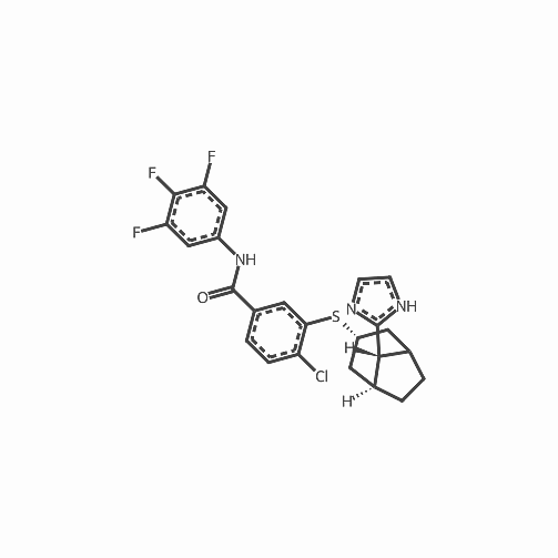 O=C(Nc1cc(F)c(F)c(F)c1)c1ccc(Cl)c(S[C@@H]2CC3CC[C@@H](C2)[C@@H]3c2ncc[nH]2)c1